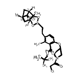 Cc1c(CCB2O[C@@H]3C[C@@H]4C[C@@H](C4(C)C)[C@]3(C)O2)ccc(OC2CN(C(=O)CCl)C2)c1C(=O)OC(C)(C)C